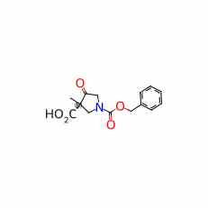 C[C@@]1(C(=O)O)CN(C(=O)OCc2ccccc2)CC1=O